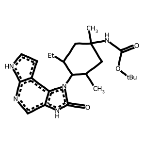 CCC1CC(C)(NC(=O)OC(C)(C)C)CC(C)C1n1c(=O)[nH]c2cnc3[nH]ccc3c21